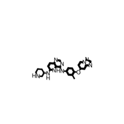 Cc1cc(Nc2ncnc3ccc(N[C@@H]4CCCNC4)nc23)ccc1Oc1ccn2ncnc2c1